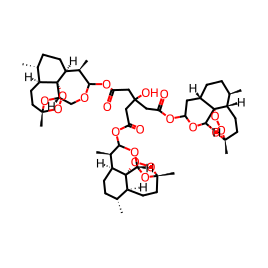 C[C@@H]1CC[C@H]2[C@@H](C)C(OC(=O)CC(O)(CC(=O)OC3C[C@@H]4CC[C@@H](C)[C@@H]5CC[C@@]6(C)OO[C@@]45[C@H](O3)O6)CC(=O)OC3OC[C@@H]4O[C@@]5(C)CC[C@H]6[C@H](C)CC[C@@H]([C@H]3C)[C@@]46OO5)O[C@@H]3O[C@@]4(C)CC[C@@H]1[C@]32OO4